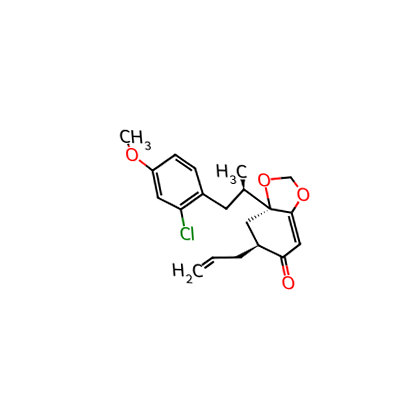 C=CC[C@H]1C[C@]2([C@H](C)Cc3ccc(OC)cc3Cl)OCOC2=CC1=O